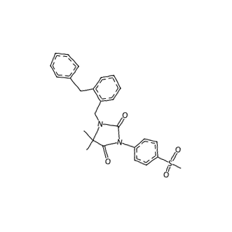 CC1(C)C(=O)N(c2ccc(S(C)(=O)=O)cc2)C(=O)N1Cc1ccccc1Cc1ccccc1